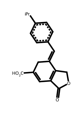 CC(C)c1ccc(C=C2CC(C(=O)O)=CC3=C2COC3=O)cc1